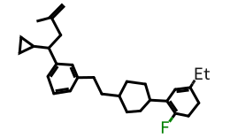 C=C(C)CC(c1cccc(CCC2CCC(C3=C(F)CCC(CC)=C3)CC2)c1)C1CC1